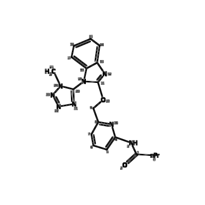 CCCC(=O)Nc1cccc(COc2nc3ccccc3n2-c2nnnn2C)n1